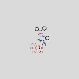 CC(c1ccccc1NCC(=O)C(c1ccccc1)c1ccccc1)N1CCC(OC2OC(C(=O)O)C(O)C(O)C2O)C1